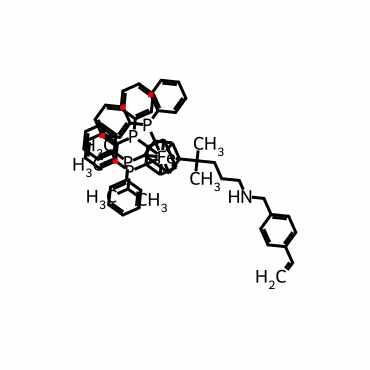 C=Cc1ccc(CNCCCC(C)(C)[C]23[CH]4[C]5(P(c6ccccc6)c6ccccc6)[C]6(P(c7ccccc7)c7ccccc7)[CH]2[Fe]43562789[CH]3[CH]2[C]7(P(c2ccccc2)c2ccccc2)[C]8(P(C(C)C)C(C)C)[CH]39)cc1